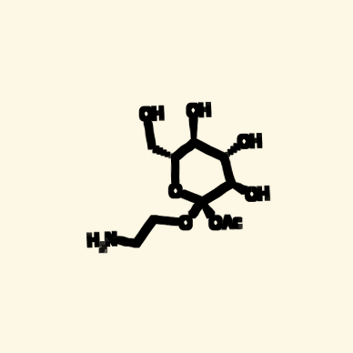 CC(=O)O[C@@]1(OCCN)O[C@H](CO)[C@@H](O)[C@H](O)[C@H]1O